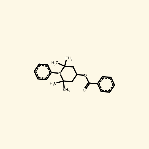 CC1(C)CC(OC(=O)c2ccccc2)CC(C)(C)N1c1ccccc1